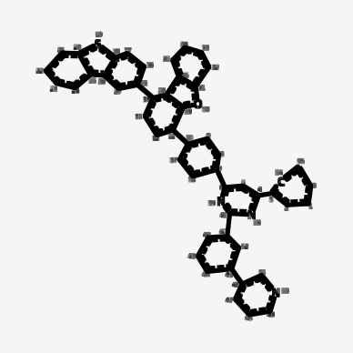 c1ccc(-c2cc(-c3ccc(-c4ccc(-c5ccc6sc7ccccc7c6c5)c5c4oc4ccccc45)cc3)nc(-c3cccc(-c4cccnc4)c3)n2)cc1